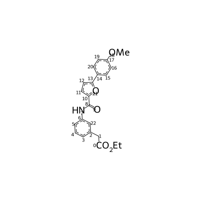 CCOC(=O)Cc1cccc(NC(=O)c2ccc(-c3ccc(OC)cc3)o2)c1